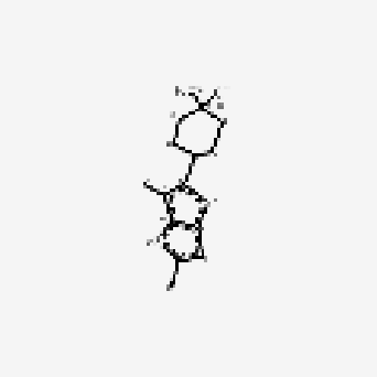 Cc1cc2sc(C3CCC(C(F)(F)F)(C(F)(F)F)CC3)c(C)c2s1